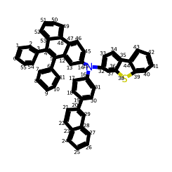 c1ccc(-c2c(-c3ccccc3)c3cc(N(c4ccc(-c5ccc6ccccc6c5)cc4)c4ccc5c(c4)sc4ccccc45)ccc3c3ccccc23)cc1